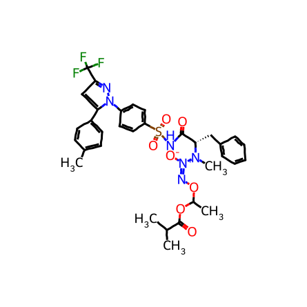 Cc1ccc(-c2cc(C(F)(F)F)nn2-c2ccc(S(=O)(=O)NC(=O)[C@H](Cc3ccccc3)N(C)/[N+]([O-])=N\OC(C)OC(=O)C(C)C)cc2)cc1